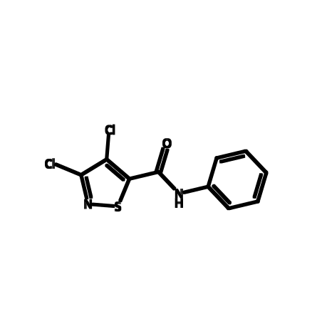 O=C(Nc1ccccc1)c1snc(Cl)c1Cl